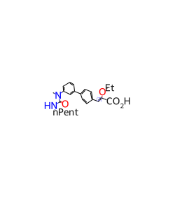 CCCCCNC(=O)N(C)c1cccc(-c2ccc(/C=C(\OCC)C(=O)O)cc2)c1